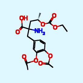 CCOC(=O)O[C@@H](C)CC(N)(Cc1ccc(OC(C)=O)c(OC(C)=O)c1)C(=O)O